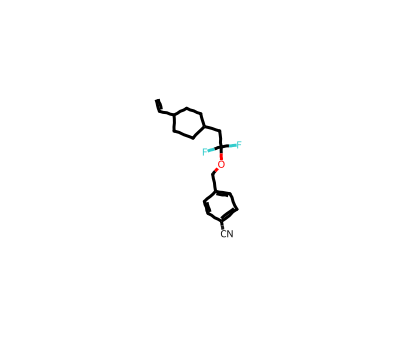 C=CC1CCC(CC(F)(F)OCc2ccc(C#N)cc2)CC1